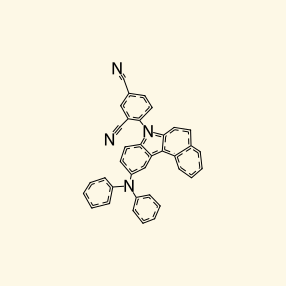 N#Cc1ccc(-n2c3ccc(N(c4ccccc4)c4ccccc4)cc3c3c4ccccc4ccc32)c(C#N)c1